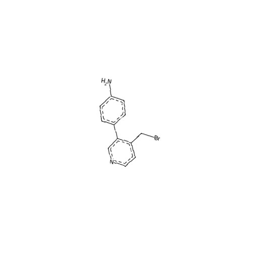 Nc1ccc(-c2cnccc2CBr)cc1